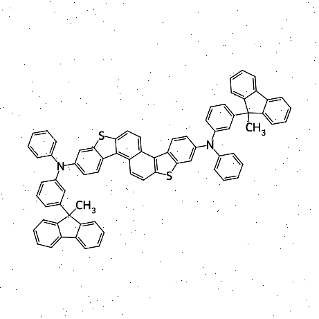 CC1(c2cccc(N(c3ccccc3)c3ccc4c(c3)sc3ccc5c(ccc6sc7cc(N(c8ccccc8)c8cccc(C9(C)c%10ccccc%10-c%10ccccc%109)c8)ccc7c65)c34)c2)c2ccccc2-c2ccccc21